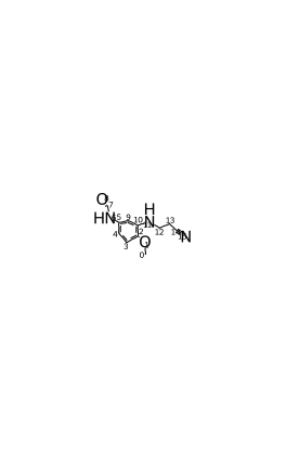 COc1ccc(NC=O)cc1NCCC#N